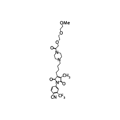 COCCOCCOCC(=O)N1CCN(CCCCC2=C(C)C(=O)N(c3ccc(C#N)c(C(F)(F)F)c3)C2=O)CC1